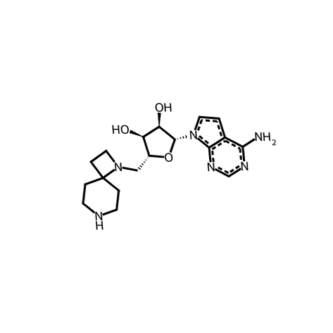 Nc1ncnc2c1ccn2[C@@H]1O[C@H](CN2CCC23CCNCC3)[C@@H](O)[C@H]1O